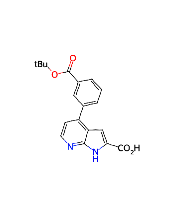 CC(C)(C)OC(=O)c1cccc(-c2ccnc3[nH]c(C(=O)O)cc23)c1